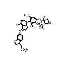 Cc1cc(OC(C2(C)CNC2)S(C)(=O)=O)cc(C)c1-c1ccc(F)c2c1CC[C@H]2Oc1ccc2c(c1)OCC2CC(=O)O